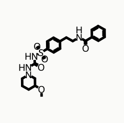 COC1CCCN(NC(=O)NS(=O)(=O)c2ccc(CCNC(=O)c3ccccc3)cc2)C1